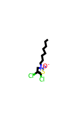 CCCCCCCC[N+]1([O-])CC(Cl)=C(Cl)S1